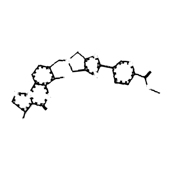 CNC(=O)c1ccc(-c2nc3c([nH]2)CN(Cc2ccc4c([nH]c(=O)c5c(F)cnn54)c2F)C3)cn1